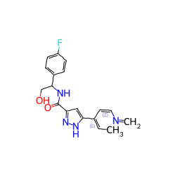 C=N/C=C\C(=C/C)c1cc(C(=O)NC(CO)c2ccc(F)cc2)n[nH]1